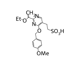 C=C(OCC)c1ncc(CCS(=O)(=O)O)c(OCc2ccc(OC)cc2)n1